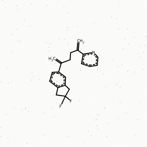 C=C(CCC(=C)c1ccccn1)c1ccc2c(c1)CC(F)(F)C2